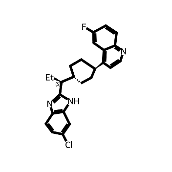 CC[C@H](c1nc2ccc(Cl)cc2[nH]1)[C@H]1CC[C@H](c2ccnc3ccc(F)cc32)CC1